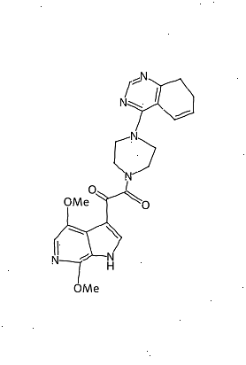 COc1ncc(OC)c2c(C(=O)C(=O)N3CCN(c4ncnc5c4C=CCC5)CC3)c[nH]c12